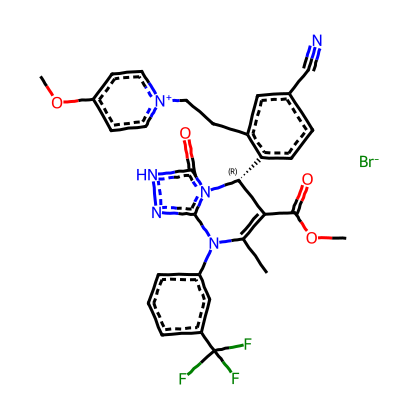 COC(=O)C1=C(C)N(c2cccc(C(F)(F)F)c2)c2n[nH]c(=O)n2[C@@H]1c1ccc(C#N)cc1CC[n+]1ccc(OC)cc1.[Br-]